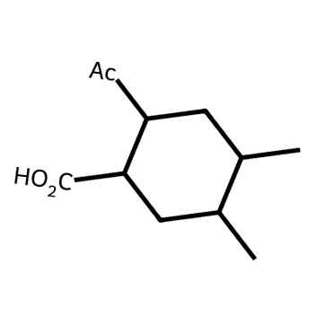 CC(=O)C1CC(C)C(C)CC1C(=O)O